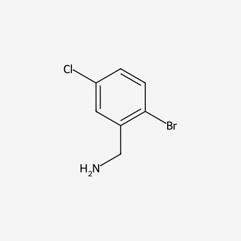 NCc1cc(Cl)ccc1Br